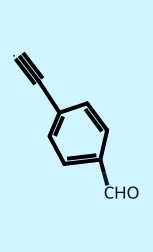 [C]#Cc1ccc(C=O)cc1